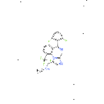 CNCc1cnc2n1-c1c(cccc1C(F)(F)F)C(c1c(F)cccc1F)=NC2